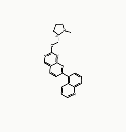 CN1CCC[C@H]1COc1ncc2ccc(-c3cccc4ncccc34)nc2n1